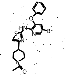 CC(=O)N1CCC(c2csc(Nc3ncc(Br)cc3Oc3ccccc3)n2)CC1